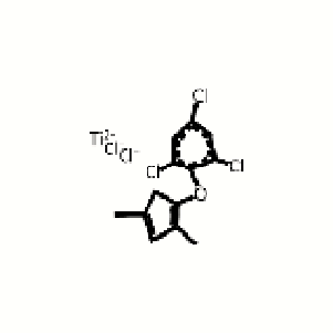 CC1=CC(C)=C(Oc2c(Cl)cc(Cl)cc2Cl)C1.[Cl-].[Cl-].[Ti+2]